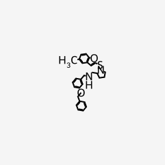 Cc1ccc2oc(SN3CCCC3CNCc3cccc(OCc4ccccc4)c3)cc2c1